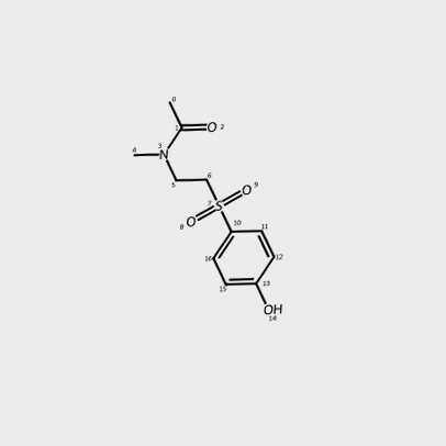 CC(=O)N(C)CCS(=O)(=O)c1ccc(O)cc1